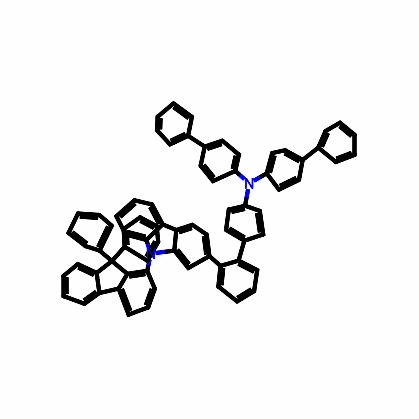 c1ccc(-c2ccc(N(c3ccc(-c4ccccc4)cc3)c3ccc(-c4ccccc4-c4ccc5c6ccccc6n(-c6cccc7c6C(c6ccccc6)(c6ccccc6)c6ccccc6-7)c5c4)cc3)cc2)cc1